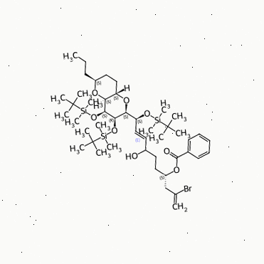 C=C(Br)C[C@H](CCC(O)/C=C/[C@H](O[Si](C)(C)C(C)(C)C)[C@@H]1O[C@H]2CC[C@H](CCC)O[C@@H]2[C@H](O[Si](C)(C)C(C)(C)C)[C@@H]1O[Si](C)(C)C(C)(C)C)OC(=O)c1ccccc1